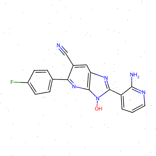 N#Cc1cc2nc(-c3cccnc3N)n(O)c2nc1-c1ccc(F)cc1